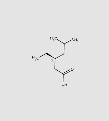 CC[C@H](CC(=O)O)CC(C)C